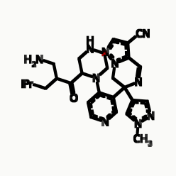 CC(C)CC(CN)C(=O)C1CNCCN1c1ccncc1C1(c2cnn(C)c2)Cn2ncc(C#N)c2C=N1